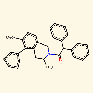 COc1ccc2c(c1-c1ccccc1)CC(C(=O)O)N(C(=O)C(c1ccccc1)c1ccccc1)C2